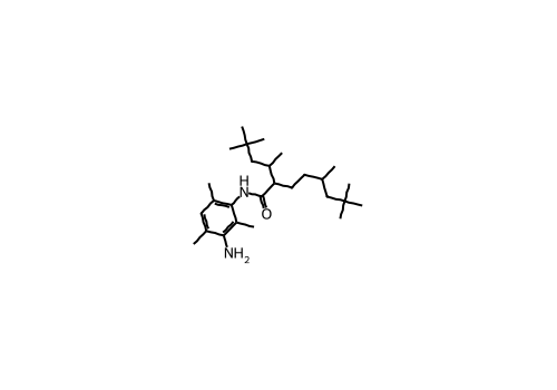 Cc1cc(C)c(NC(=O)C(CCC(C)CC(C)(C)C)C(C)CC(C)(C)C)c(C)c1N